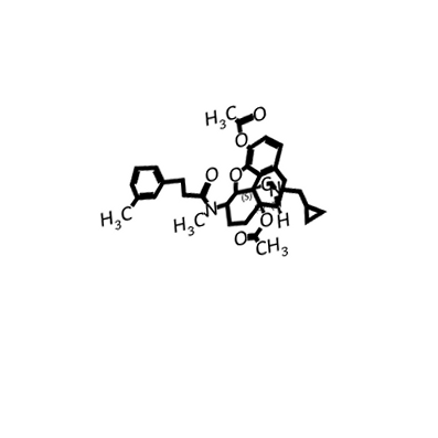 CC(=O)Oc1ccc2c3c1OC1C(N(C)C(=O)CCc4cccc(C)c4)CC[C@@]4(OC(C)=O)[C@@H](C2)N(CC2CC2)CC[C@]314